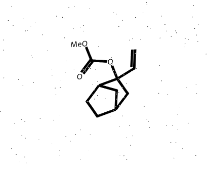 C=CC1(OC(=O)OC)CC2CCC1C2